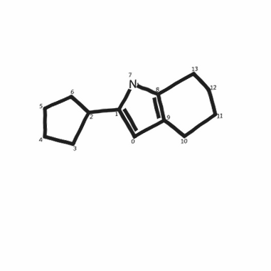 C1=C(C2CCCC2)[N]C2=C1CCCC2